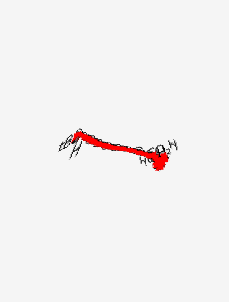 CC(C)(C)OC(=O)NCCOCCOCCOCCOCCOCCOCCOCCOCCOCCOCCOCCOCCC(=O)NCCCC[C@H](NC(=O)OCC1c2ccccc2-c2ccccc21)C(=O)O